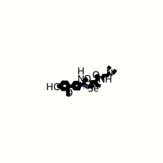 CCN(CC)CCNC(=O)c1cc(/C=C2\C(=O)Nc3cc(-c4ccc(O)cc4OC)ccc32)[se]c1C